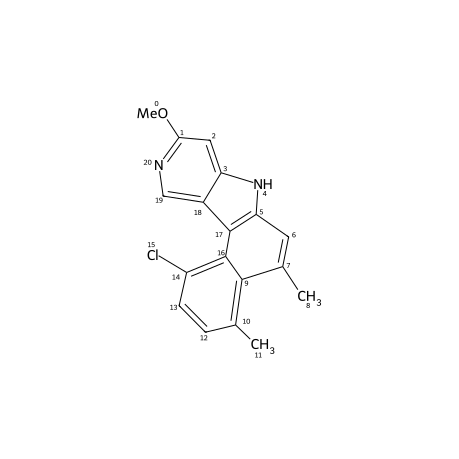 COc1cc2[nH]c3cc(C)c4c(C)ccc(Cl)c4c3c2cn1